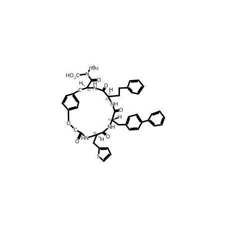 CCCCN(C(=O)O)C(=O)[C@@H]1Cc2ccc(cc2)OCC(=O)N[C@H](Cc2cccs2)C(=O)N[C@@H](Cc2ccc(-c3ccccc3)cc2)C(=O)N[C@H](CCc2ccccc2)C(=O)N1